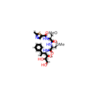 COC[C@H](NC(=O)c1cnc(C)s1)C(=O)N[C@@H](COC)C(=O)N[C@H](C(=O)[C@H](O)CO)C(C)c1ccccc1